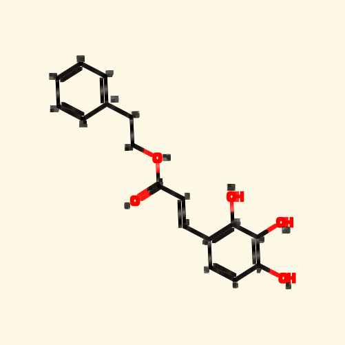 O=C(C=Cc1ccc(O)c(O)c1O)OCCc1ccccc1